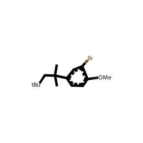 COc1ccc(C(C)(C)CC(C)(C)C)cc1Br